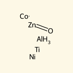 [AlH3].[Co].[Ni].[O]=[Zn].[Ti]